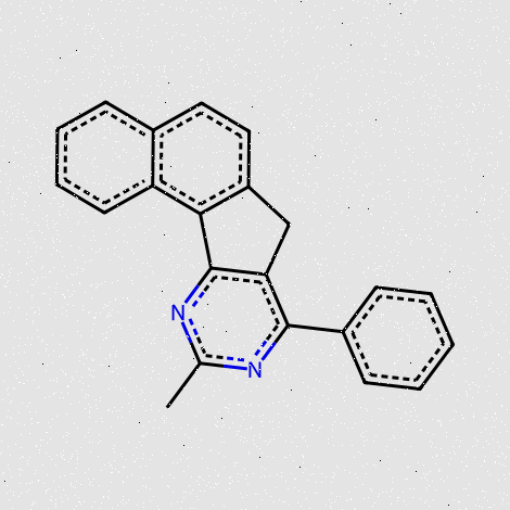 Cc1nc(-c2ccccc2)c2c(n1)-c1c(ccc3ccccc13)C2